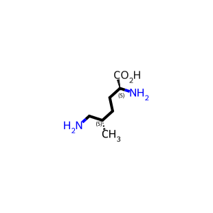 C[C@H](CN)CC[C@H](N)C(=O)O